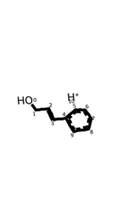 OC/C=C/c1ccccc1.[H+]